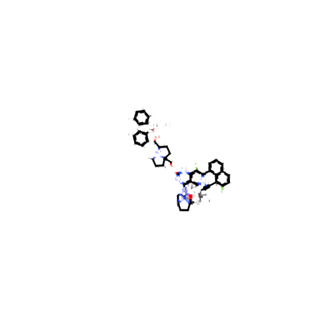 CC(C)[Si](C#Cc1c(F)ccc2cccc(-c3ncc4c(N5CC6CCC(C(C)(C)C)(C5)N6C(=O)O)nc(OCC56CCCN5C(CO[Si](c5ccccc5)(c5ccccc5)C(C)(C)C)CC6)nc4c3F)c12)(C(C)C)C(C)C